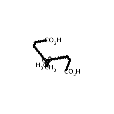 CN(C)Cc1cc(OCCCCCCCCCCC/C=C\C/C=C\CCCCCCCC(=O)O)cc(OCCCCCCCCCCC/C=C\C/C=C\CCCCCCCC(=O)O)c1